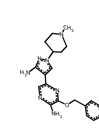 CN1CCC(n2cc(-c3cnc(N)c(OCc4ccncc4)n3)c(N)n2)CC1